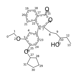 CCOc1cc(-c2c(CCC(O)CC)oc(=O)c3ccccc23)ccc1OC1CCCC1